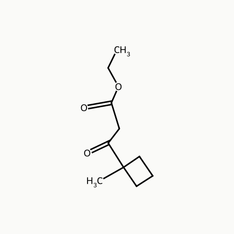 CCOC(=O)CC(=O)C1(C)CCC1